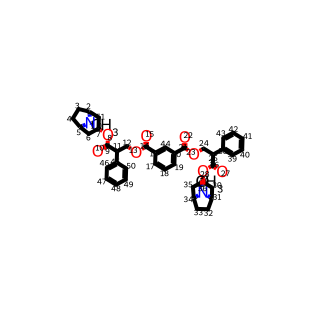 CN1C2CCC1CC(OC(=O)C(COC(=O)c1cccc(C(=O)OCC(C(=O)OC3CC4CCC(C3)N4C)c3ccccc3)c1)c1ccccc1)C2